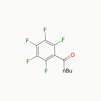 CCCCC(=O)c1c(F)c(F)c(F)c(F)c1F